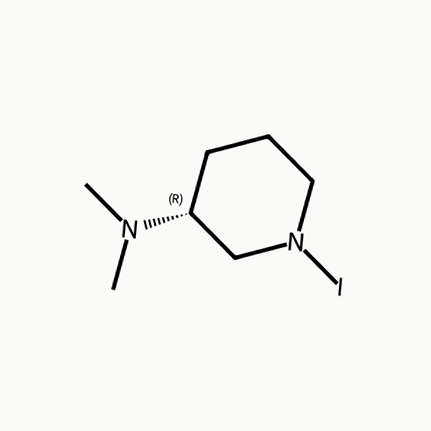 CN(C)[C@@H]1CCCN(I)C1